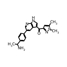 Cc1cc(C(=O)c2c[nH]c3ncc(-c4ccc(C(C)N)cc4)cc23)nn1C